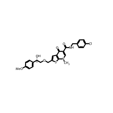 COc1ccc([C@H](O)COCc2cc3c(=O)c(C(=O)NCc4ccc(Cl)cc4)cn(C)c3s2)cc1